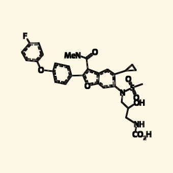 CNC(=O)c1c(-c2ccc(Oc3ccc(F)cc3)cc2)oc2cc(N(CC(O)CNC(=O)O)S(C)(=O)=O)c(C3CC3)cc12